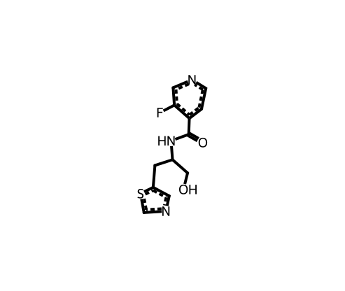 O=C(NC(CO)Cc1cncs1)c1ccncc1F